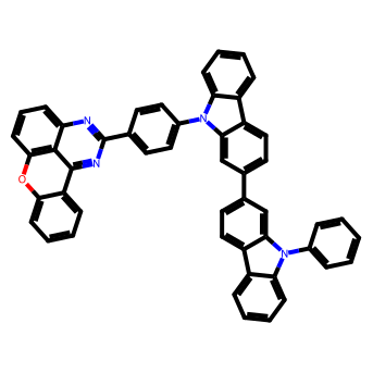 c1ccc(-n2c3ccccc3c3ccc(-c4ccc5c6ccccc6n(-c6ccc(-c7nc8c9c(cccc9n7)Oc7ccccc7-8)cc6)c5c4)cc32)cc1